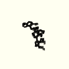 Cc1c(-c2cnc(NCc3c(F)ccc4c3CCO4)n3cnnc23)cnn1C